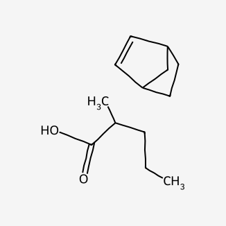 C1=CC2CCC1C2.CCCC(C)C(=O)O